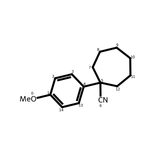 COc1ccc(C2(C#N)CCCCCC2)cc1